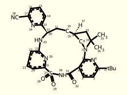 CC(C)(C)c1ccc2c(n1)N1C[C@@H](CC[C@H](c3cccc(C#N)n3)Nc3cccc(n3)S(=O)(=O)NC2=O)CC1(C)C